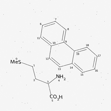 CSCCC(N)C(=O)O.c1ccc2c(c1)ccc1ccccc12